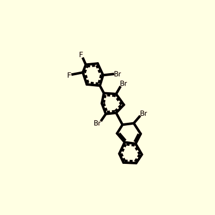 Fc1cc(Br)c(-c2cc(Br)c(C3C=c4ccccc4=CC3Br)cc2Br)cc1F